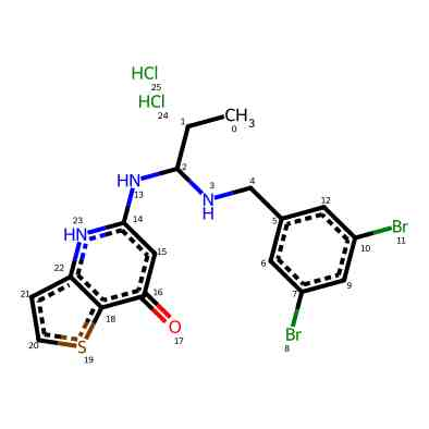 CCC(NCc1cc(Br)cc(Br)c1)Nc1cc(=O)c2sccc2[nH]1.Cl.Cl